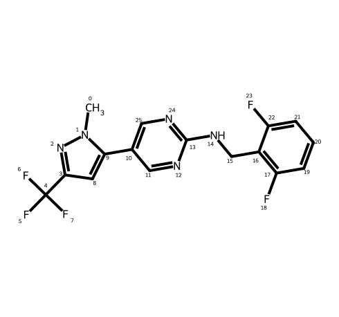 Cn1nc(C(F)(F)F)cc1-c1cnc(NCc2c(F)cccc2F)nc1